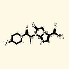 C[C@@H](C(=O)N1CCC(C(F)(F)F)CC1)N1C(=O)Cn2c(C(N)=O)cnc21